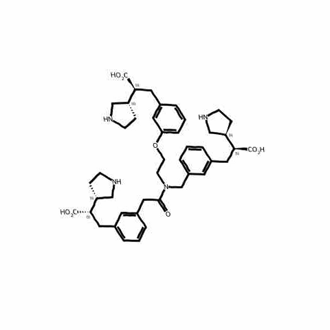 O=C(O)[C@@H](Cc1cccc(CC(=O)N(CCOc2cccc(C[C@H](C(=O)O)[C@@H]3CCNC3)c2)Cc2cccc(C[C@H](C(=O)O)[C@@H]3CCNC3)c2)c1)[C@@H]1CCNC1